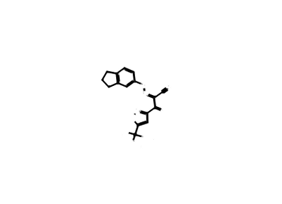 CC(C)(C)c1cc(C(=O)/C(C#N)=N/Nc2ccc3c(c2)CCC3)no1